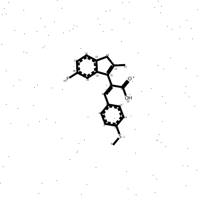 CSc1ccc(C=C(C(=O)O)C2=C(C)Cc3ccc(F)cc32)cc1